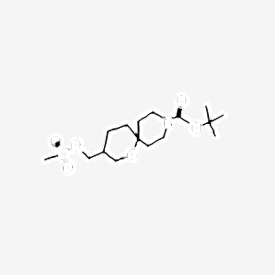 CC(C)(C)OC(=O)N1CCC2(CCC(COS(C)(=O)=O)CO2)CC1